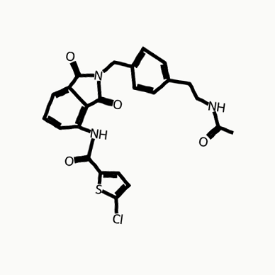 CC(=O)NCCc1ccc(CN2C(=O)c3cccc(NC(=O)c4ccc(Cl)s4)c3C2=O)cc1